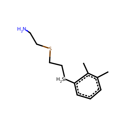 Cc1cccc([SiH2]CCSCCN)c1C